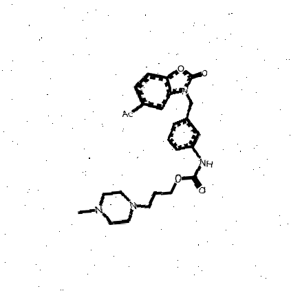 CC(=O)c1ccc2oc(=O)n(Cc3cccc(NC(=O)OCCCN4CCN(C)CC4)c3)c2c1